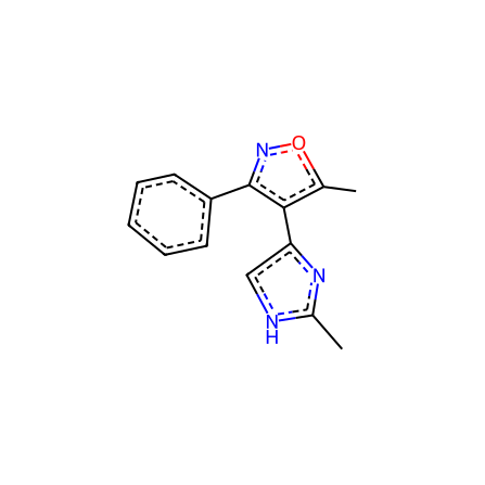 Cc1nc(-c2c(-c3ccccc3)noc2C)c[nH]1